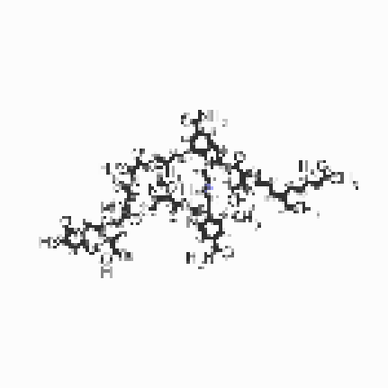 CCc1nc(C)oc1C(=O)Nc1nc2cc(C(N)=O)cc(OC)c2n1C/C=C/Cn1c(NC(=O)c2oc(CCC(CC)CCCCC(C)C)nc2CC)nc2cc(C(N)=O)cc(OCCCOC(=O)[C@H](C)NC(=O)CNC(=O)[C@@H](CCC(=O)O)NC(=O)CN3C(=O)CC(S)C3=O)c21